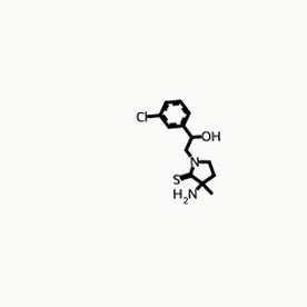 CC1(N)CCN(CC(O)c2cccc(Cl)c2)C1=S